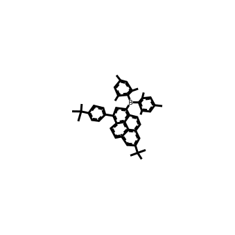 Cc1cc(C)c(B(c2c(C)cc(C)cc2C)c2cc(-c3ccc(C(C)(C)C)cc3)c3ccc4cc(C(C)(C)C)cc5ccc2c3c54)c(C)c1